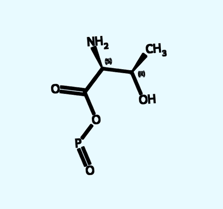 C[C@@H](O)[C@H](N)C(=O)OP=O